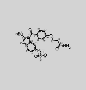 CCCCc1oc2ccc(NS(C)(=O)=O)cc2c1C(=O)c1ccc(OCCC(N)=O)cc1